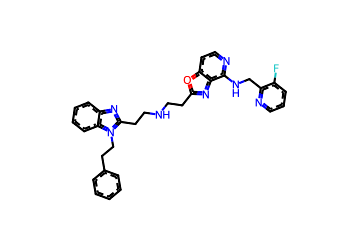 Fc1cccnc1CNc1nccc2oc(CCNCCc3nc4ccccc4n3CCc3ccccc3)nc12